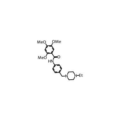 CCN1CCN(Cc2ccc(NC(=O)c3cc(OC)c(OC)cc3OC)cc2)CC1